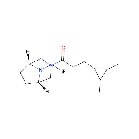 CC(C)CN1[C@@H]2CC[C@H]1CN(C(=O)CCC1C(C)C1C)C2